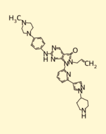 C=CCn1c(=O)c2cnc(Nc3ccc(N4CCN(C)CC4)cc3)nc2n1-c1cccc(-c2cnn(C3CCNCC3)c2)n1